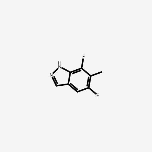 Cc1c(F)cc2cn[nH]c2c1F